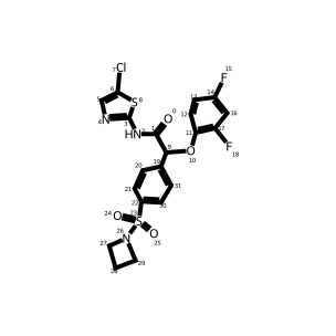 O=C(Nc1ncc(Cl)s1)C(Oc1ccc(F)cc1F)c1ccc(S(=O)(=O)N2CCC2)cc1